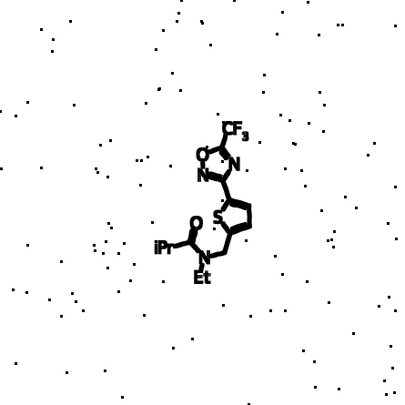 CCN(Cc1ccc(-c2noc(C(F)(F)F)n2)s1)C(=O)C(C)C